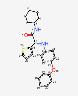 O=C(NC1CCCCC1)C(Nc1ccc(Oc2ccccc2)cc1)c1cccs1